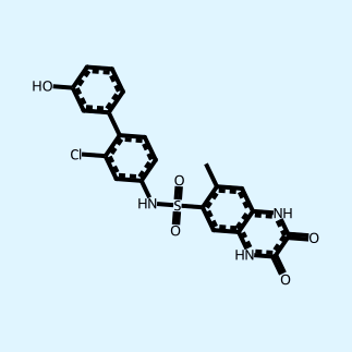 Cc1cc2[nH]c(=O)c(=O)[nH]c2cc1S(=O)(=O)Nc1ccc(-c2cccc(O)c2)c(Cl)c1